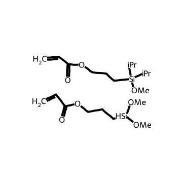 C=CC(=O)OCCC[SiH](OC)OC.C=CC(=O)OCCC[Si](OC)(C(C)C)C(C)C